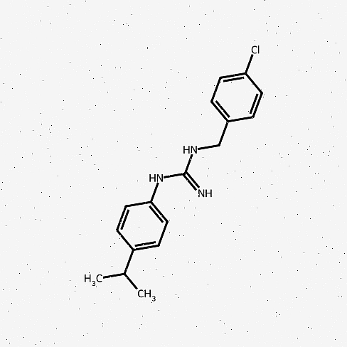 CC(C)c1ccc(NC(=N)NCc2ccc(Cl)cc2)cc1